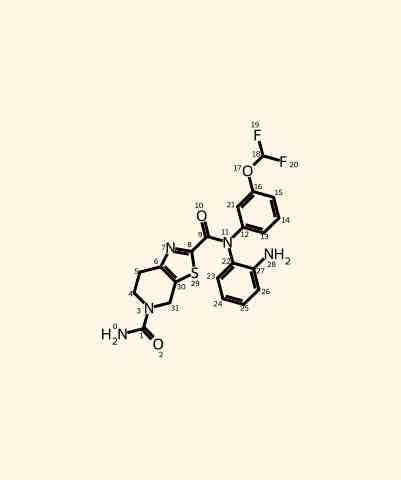 NC(=O)N1CCc2nc(C(=O)N(c3cccc(OC(F)F)c3)c3ccccc3N)sc2C1